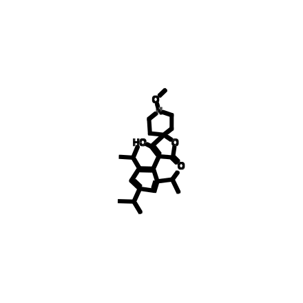 CON1CCC2(CC1)OC(=O)C(c1c(C(C)C)cc(C(C)C)cc1C(C)C)=C2O